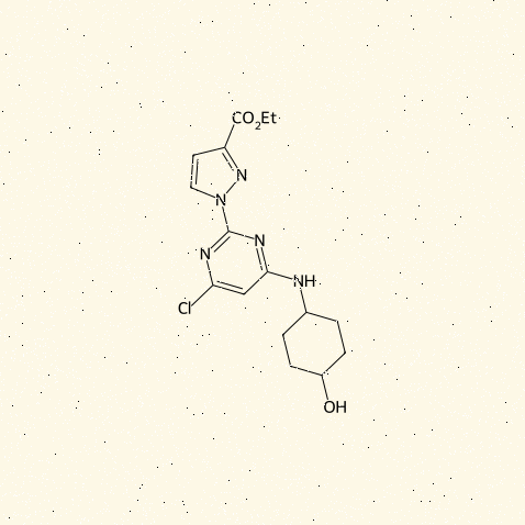 CCOC(=O)c1ccn(-c2nc(Cl)cc(NC3CCC(O)CC3)n2)n1